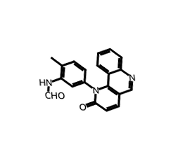 Cc1ccc(-n2c(=O)ccc3cnc4ccccc4c32)cc1NC=O